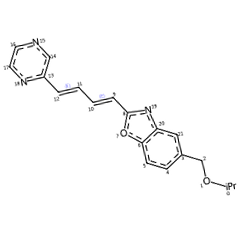 CC(C)OCc1ccc2oc(/C=C/C=C/c3cnccn3)nc2c1